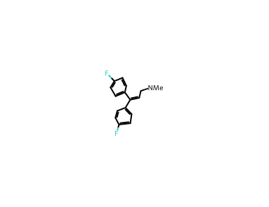 CNCC=C(c1ccc(F)cc1)c1ccc(F)cc1